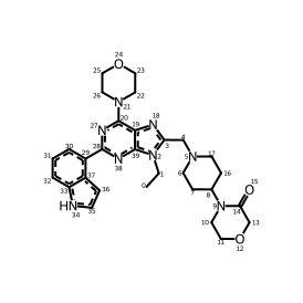 CCn1c(CN2CCC(N3CCOCC3=O)CC2)nc2c(N3CCOCC3)nc(-c3cccc4[nH]ccc34)nc21